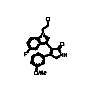 COc1cccc(C2=C(c3cn(CCCl)c4ccc(F)cc34)C(=O)NC2)c1